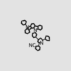 N#Cc1ccccc1-c1cc(-c2cccc(-n3c4ccccc4c4ccc5c(c6ccccc6n5-c5ccccc5)c43)c2)cc(-c2ccccc2)n1